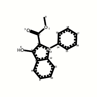 COC(=O)c1c(O)c2ccccc2n1-c1ccccc1